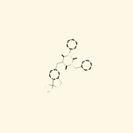 CCOC1(OCC)OCc2cc(CC3C(=O)N(Cc4ccccc4)C(=O)N(c4ccccc4)C3=O)ccc21